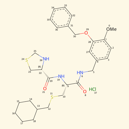 COc1ccc(CNC(=O)[C@H](CSCC2CCCCC2)NC(=O)[C@@H]2CSCN2)cc1OCc1ccccc1.Cl